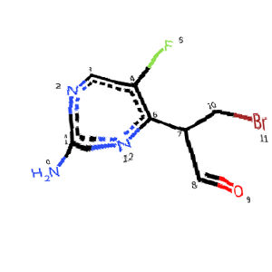 Nc1ncc(F)c(C(C=O)CBr)n1